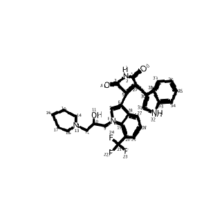 O=C1NC(=O)C(c2cn(CC(O)CN3CCCCC3)c3c(C(F)(F)F)cccc23)=C1c1c[nH]c2ccccc12